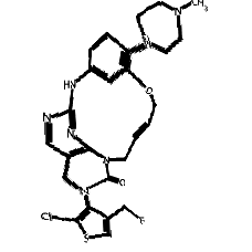 CN1CCN(c2ccc3cc2OC/C=C/CN2C(=O)N(c4c(CF)csc4Cl)Cc4cnc(nc42)N3)CC1